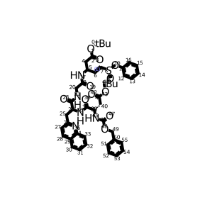 CC(C)(C)OC(=O)CC(/C=C/S(=O)Oc1ccccc1)NC(=O)CNC(=O)C(Cc1ccc2ccccc2n1)NC(=O)[C@H](CC(=O)OC(C)(C)C)NC(=O)OCc1ccccc1